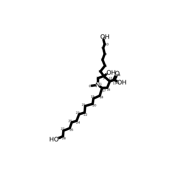 CN1CC(O)(CCCCCCO)C(C(=O)O)CC1CCCCCCCCCCCO